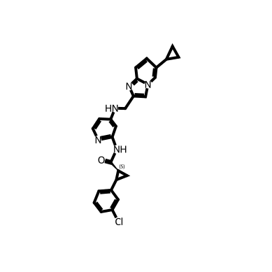 O=C(Nc1cc(NCc2cn3cc(C4CC4)ccc3n2)ccn1)[C@H]1CC1c1cccc(Cl)c1